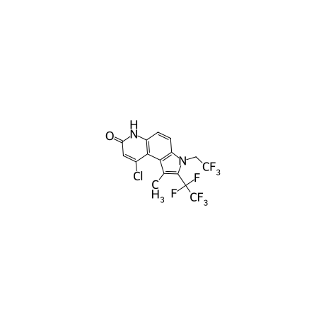 Cc1c(C(F)(F)C(F)(F)F)n(CC(F)(F)F)c2ccc3[nH]c(=O)cc(Cl)c3c12